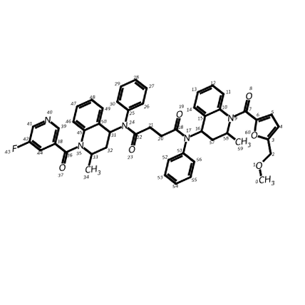 COCc1ccc(C(=O)N2c3ccccc3C(N(C(=O)CCC(=O)N(c3ccccc3)C3CC(C)N(C(=O)c4cncc(F)c4)c4ccccc43)c3ccccc3)CC2C)o1